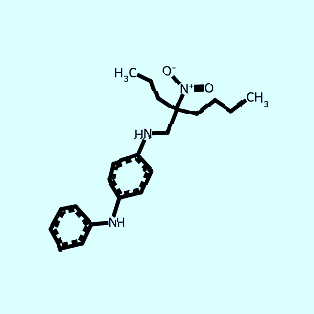 CCCCC(CCC)(CNc1ccc(Nc2ccccc2)cc1)[N+](=O)[O-]